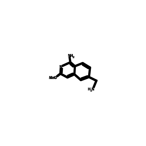 COc1cc2cc(CN)ccc2c(N)n1